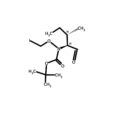 CC[C@H](C)[C@@H]([C]=O)N(OCI)C(=O)OC(C)(C)C